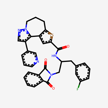 O=C(NC(Cc1cccc(F)c1)CN1C(=O)c2ccccc2C1=O)c1cc2c(s1)CCCn1ncc(-c3cccnc3)c1-2